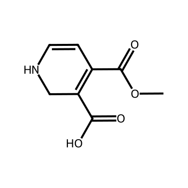 COC(=O)C1=C(C(=O)O)CNC=C1